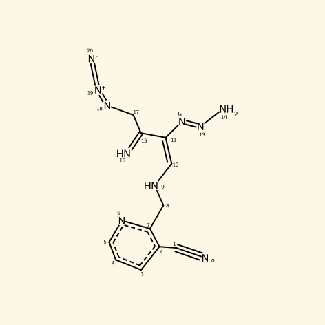 N#Cc1cccnc1CN/C=C(/N=NN)C(=N)CN=[N+]=[N-]